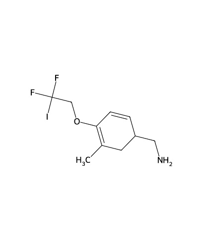 CC1=C(OCC(F)(F)I)C=CC(CN)C1